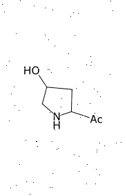 CC(=O)C1CC(O)CN1